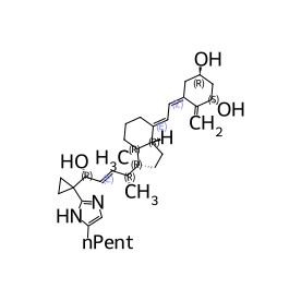 C=C1/C(=C\C=C2/CCC[C@]3(C)[C@@H]([C@H](C)/C=C/[C@@H](O)C4(c5ncc(CCCCC)[nH]5)CC4)CC[C@@H]23)C[C@@H](O)C[C@@H]1O